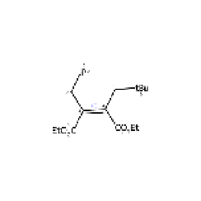 CCOC(=O)/C(CC(C)C)=C(/CC(C)(C)C)C(=O)OCC